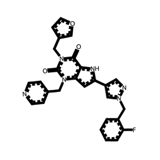 O=c1c2[nH]c(-c3cnn(Cc4ccccc4F)c3)cc2n(Cc2ccncc2)c(=O)n1Cc1ccoc1